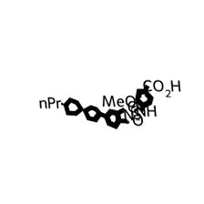 CCC[C@H]1CC[C@H](C2CC=C(c3ccc4c(c3)CN(S(=O)(=O)Nc3ccc(C(=O)O)cc3OC)C4)CC2)CC1